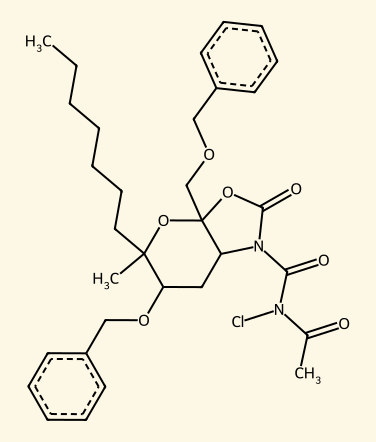 CCCCCCCC1(C)OC2(COCc3ccccc3)OC(=O)N(C(=O)N(Cl)C(C)=O)C2CC1OCc1ccccc1